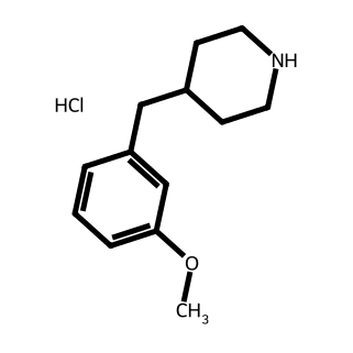 COc1cccc(CC2CCNCC2)c1.Cl